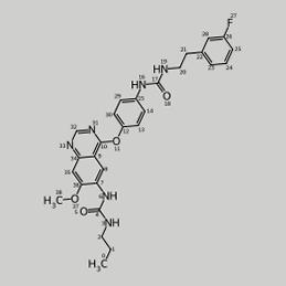 CCCNC(=O)Nc1cc2c(Oc3ccc(NC(=O)NCCc4cccc(F)c4)cc3)ncnc2cc1OC